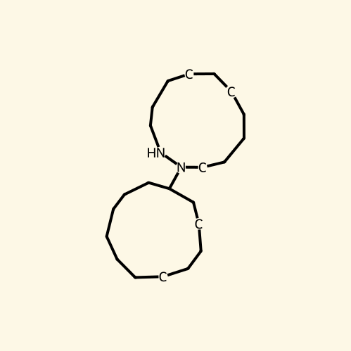 C1CCCCCC(N2CCCCCCCCCCN2)CCCCC1